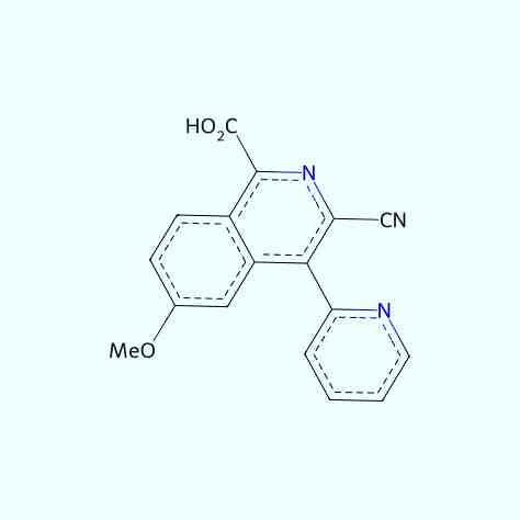 COc1ccc2c(C(=O)O)nc(C#N)c(-c3ccccn3)c2c1